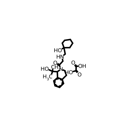 CC(C)(O)C1c2ccccc2CCN1C(=O)CNCC1(O)CCCCC1.O=C(O)C(=O)O